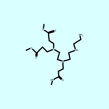 CNC(=O)CCN(CCNCCN)CCN(CCC(=O)OC)CCC(=O)OC